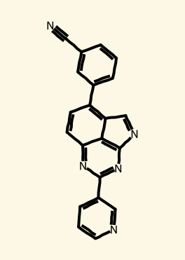 N#Cc1cccc(-c2ccc3nc(-c4cccnc4)nc4c3c2C=N4)c1